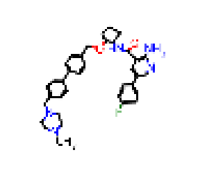 CN1CCN(Cc2ccc(-c3ccc(COC4CCC[C@@H]4NC(=O)c4cc(-c5ccc(F)cc5)cnc4N)cc3)cc2)CC1